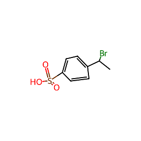 CC(Br)c1ccc(S(=O)(=O)O)cc1